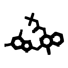 CC(C)(C)CC(=O)Oc1nn(Cc2nc3cc(F)cc(F)c3s2)c(=O)c2ncccc12